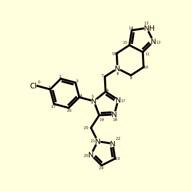 Clc1ccc(-n2c(CN3CCc4n[nH]cc4C3)nnc2Cn2nccn2)cc1